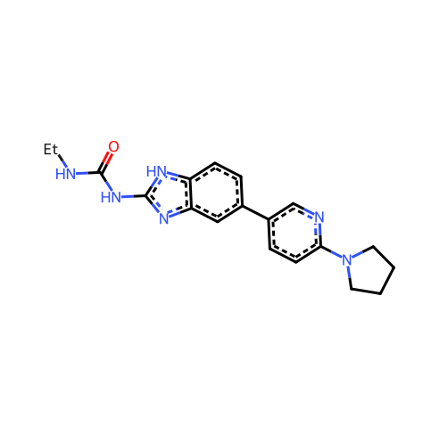 CCNC(=O)Nc1nc2cc(-c3ccc(N4CCCC4)nc3)ccc2[nH]1